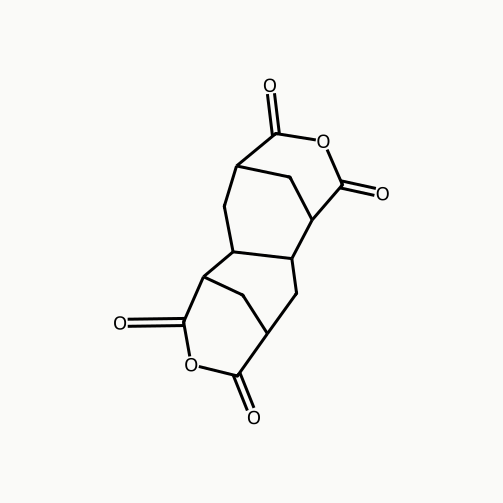 O=C1OC(=O)C2CC1CC1C3CC(CC21)C(=O)OC3=O